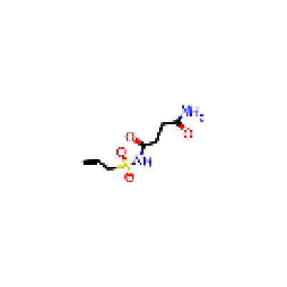 C=CCS(=O)(=O)NC(=O)CCC(N)=O